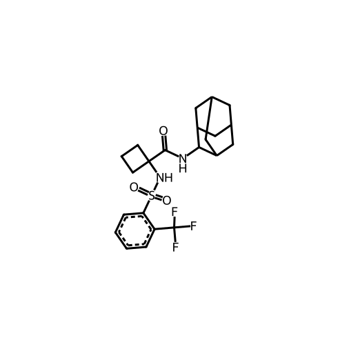 O=C(NC1C2CC3CC(C2)CC1C3)C1(NS(=O)(=O)c2ccccc2C(F)(F)F)CCC1